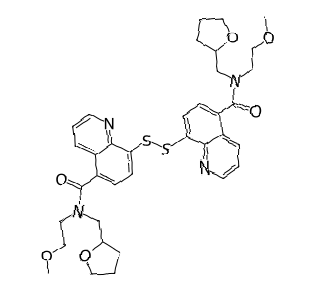 COCCN(CC1CCCO1)C(=O)c1ccc(SSc2ccc(C(=O)N(CCOC)CC3CCCO3)c3cccnc23)c2ncccc12